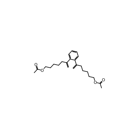 C=C(CCCCCOC(C)=O)c1ccccc1C(=C)CCCCCOC(C)=O